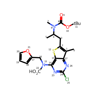 Cc1c(CC(C)N(C)C(=O)OC(C)(C)C)sc2c(N(Cc3ccco3)C(=O)O)nc(Cl)nc12